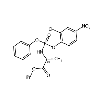 CC(C)OC(=O)[C@@H](C)NP(=O)(Oc1ccccc1)Oc1ccc([N+](=O)[O-])cc1Cl